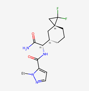 CCn1nccc1C(=O)N[C@H](C(N)=O)[C@H]1CCC[C@@]2(C1)CC2(F)F